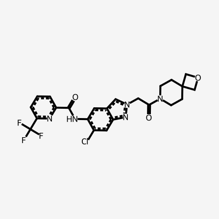 O=C(Nc1cc2cn(CC(=O)N3CCC4(CC3)COC4)nc2cc1Cl)c1cccc(C(F)(F)F)n1